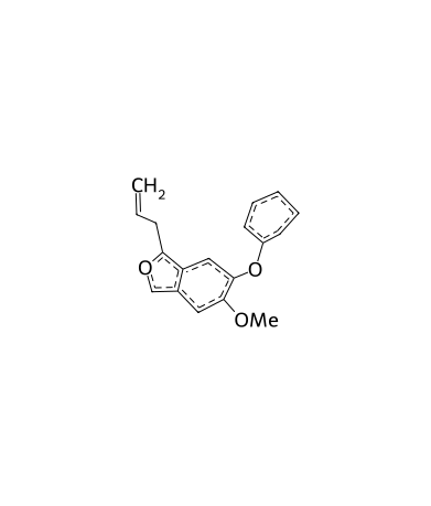 C=CCc1occ2cc(OC)c(Oc3ccccc3)cc12